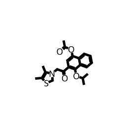 CC(=O)Oc1cc(C(=O)CN2CSC(C)=C2C)c(OC(C)C)c2ccccc12